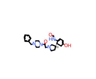 O=CNC1=CC=C(O)CC1[C@@H]1CCN(CC(=O)N2CCN(Cc3ccccc3)CC2)C1